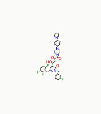 O=C(C=C(O)c1cc(Cc2c(F)ccc(F)c2F)cn(Cc2cccc(F)c2)c1=O)C(=O)N1CCN(c2ccc(-n3cccc3)cc2)CC1